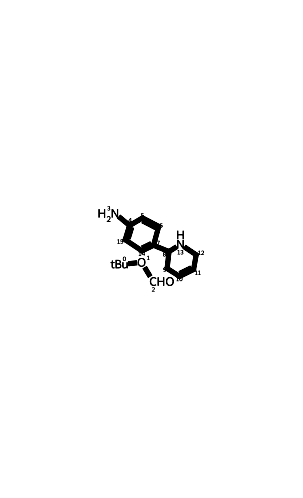 CC(C)(C)OC=O.Nc1ccc(C2CC=CCN2)cc1